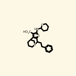 O=C(O)c1c(NC2CCCCO2)sc2c1C1CCCN(C1)C2CCc1ccccc1